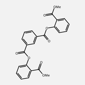 COC(=O)c1ccccc1OC(=O)c1cccc(C(=O)Oc2ccccc2C(=O)OC)c1